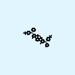 Cc1cc(N(c2ccccc2)c2ccc(C(C)(C)C)cc2)cc2c1-c1ccc3c(c1C2(C)C)C(C)(C)c1cc(N(c2ccccc2)c2ccc(C(C)(C)C)cc2)cc(C)c1-3